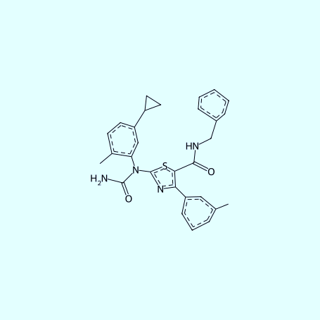 Cc1cccc(-c2nc(N(C(N)=O)c3cc(C4CC4)ccc3C)sc2C(=O)NCc2ccccc2)c1